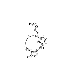 COCCN1CCCCCNc2nc(ncc2Br)Nc2cccc1c2